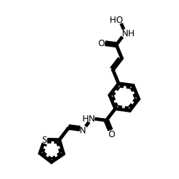 O=C(/C=C/c1cccc(C(=O)N/N=C/c2cccs2)c1)NO